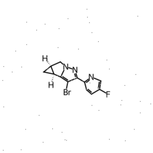 Fc1ccc(-c2nn3c(c2Br)[C@H]2C[C@H]2C3)nc1